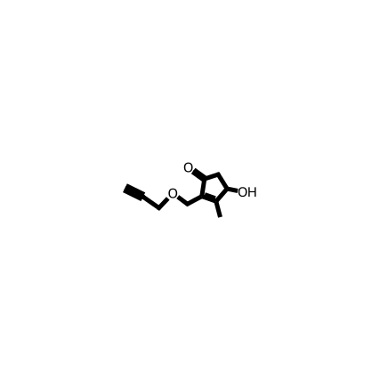 C#CCOCC1=C(C)C(O)CC1=O